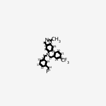 Cn1ncc2cc(N(Cc3cccc(CF)c3)Cc3cccc(C(F)(F)F)c3)ccc21